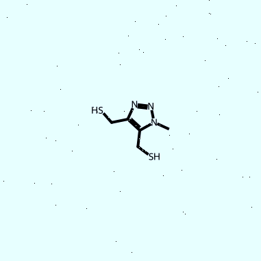 Cn1nnc(CS)c1CS